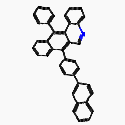 c1ccc(-c2c3ccccc3c(-c3ccc(-c4ccc5ccccc5c4)cc3)c3cnc4ccccc4c23)cc1